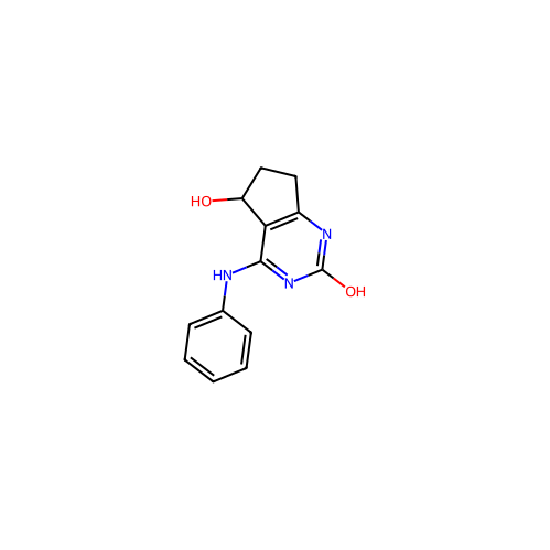 Oc1nc2c(c(Nc3ccccc3)n1)C(O)CC2